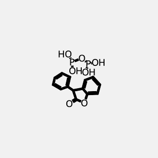 O=C1Oc2ccccc2C1c1ccccc1.OP(O)OP(O)O